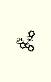 COc1ccc2c3ccccc3n(-c3nc4ccccc4s3)c2c1